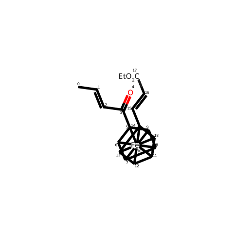 CC=CC(=O)[C]12[CH]3[CH]4[CH]5[CH]1[Fe]45321678[CH]2[CH]1[CH]6[C]7(C=CC(=O)OCC)[CH]28